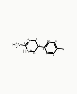 Cc1ccc(C2CN=C(N)NC2)cc1